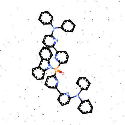 O=P(c1cccc(-c2cccc(N(c3ccccc3)c3ccccc3)n2)n1)(c1cccc(-c2cccc(N(c3ccccc3)c3ccccc3)n2)n1)n1c2ccccc2c2ccccc21